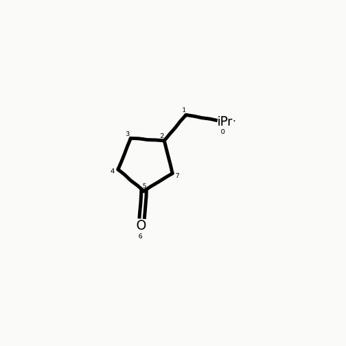 C[C](C)CC1CCC(=O)C1